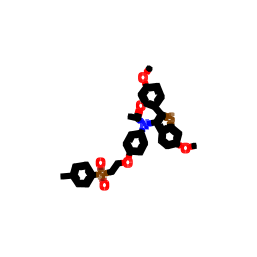 COc1ccc(-c2sc3cc(OC)ccc3c2N(C(C)=O)c2ccc(OCCS(=O)(=O)c3ccc(C)cc3)cc2)cc1